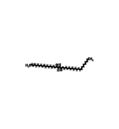 CCCCCCCC/C=C\CCCCCCCCCCCC(=O)NNC(=O)CCCCCCCCCCCCCCCCC